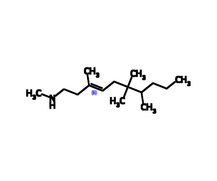 CCCC(C)C(C)(C)C/C=C(\C)CCNC